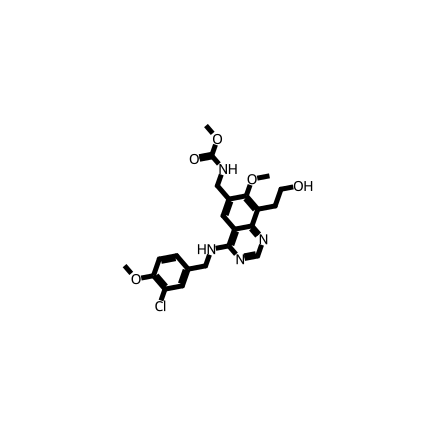 COC(=O)NCc1cc2c(NCc3ccc(OC)c(Cl)c3)ncnc2c(CCO)c1OC